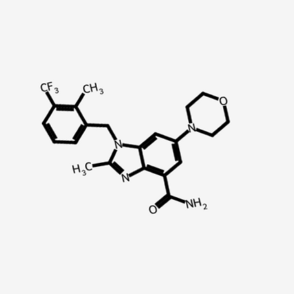 Cc1c(Cn2c(C)nc3c(C(N)=O)cc(N4CCOCC4)cc32)cccc1C(F)(F)F